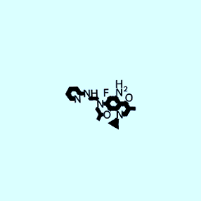 Cc1cn(C2CC2)c2c3c(c(F)c(N)c2c1=O)N(CCNc1ccccn1)CC(C)O3